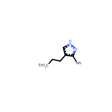 CCCc1n[nH]cc1CCC(=O)OCC